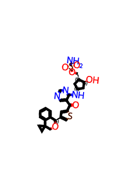 NS(=O)(=O)OC[C@H]1C[C@@H](Nc2ncncc2C(=O)c2cc([C@H]3OCC4(CC4)c4ccccc43)cs2)C[C@@H]1O